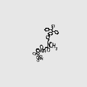 CN(CCOc1ccc(C(=C(CCCl)c2ccccc2)c2ccccc2)cc1)C(=O)CCC(=O)Nc1cccc2c1CN(C1CCC(=O)NC1=O)C2=O